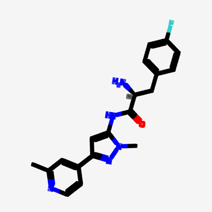 Cc1cc(-c2cc(NC(=O)[C@@H](N)Cc3ccc(F)cc3)n(C)n2)ccn1